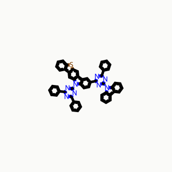 c1ccc(-c2nc(-c3ccc4c(c3)c3cc5sc6ccccc6c5cc3n4-c3nc(-c4ccccc4)nc(-c4ccccc4)n3)nc(-n3c4ccccc4c4ccccc43)n2)cc1